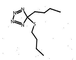 CCCCSC1(CCCC)N=NN=N1